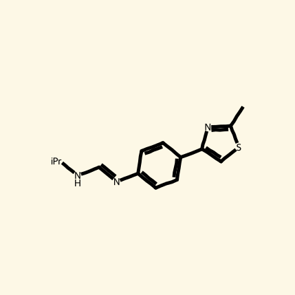 Cc1nc(-c2ccc(/N=C/NC(C)C)cc2)cs1